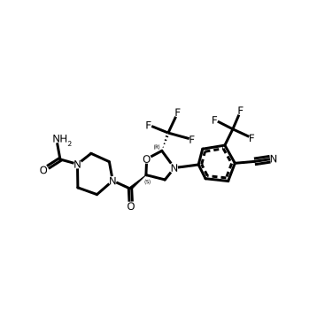 N#Cc1ccc(N2C[C@@H](C(=O)N3CCN(C(N)=O)CC3)O[C@@H]2C(F)(F)F)cc1C(F)(F)F